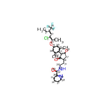 C=C/C(=C\C(Cl)=C(/C)Oc1cc(C)c(C2C(=O)CC(CCNC(=O)c3ccccn3)C2=O)c(C)c1)C(F)(F)F